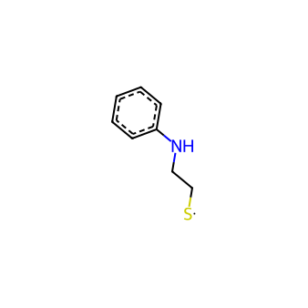 [S]CCNc1ccccc1